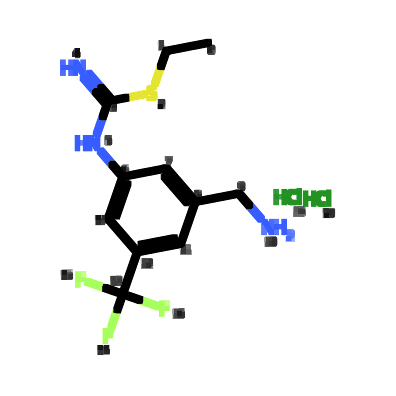 CCSC(=N)Nc1cc(CN)cc(C(F)(F)F)c1.Cl.Cl